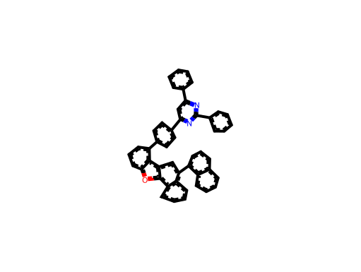 c1ccc(-c2cc(-c3ccc(-c4cccc5oc6c7ccccc7c(-c7cccc8ccccc78)cc6c45)cc3)nc(-c3ccccc3)n2)cc1